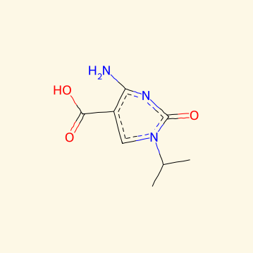 CC(C)n1cc(C(=O)O)c(N)nc1=O